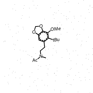 COc1c2c(cc(CCN(C)C(C)=O)c1C(C)(C)C)OCO2